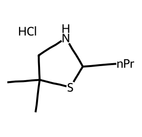 CCCC1NCC(C)(C)S1.Cl